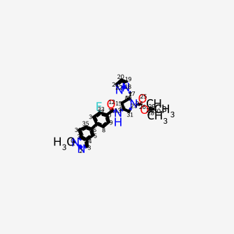 Cn1ncc2cc(-c3ccc(C(=O)NC4C[C@H](Cn5cccn5)N(C(=O)OC(C)(C)C)C4)c(F)c3)ccc21